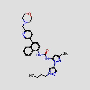 CC(C)(C)c1cc(NC(=O)Nc2ccc(-c3ccc(CN4CCOCC4)nc3)c3ccccc23)n(-c2cnn(CCCC#N)c2)n1